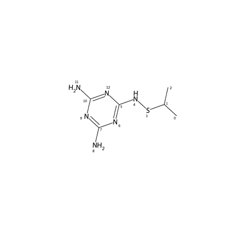 CC(C)SNc1nc(N)nc(N)n1